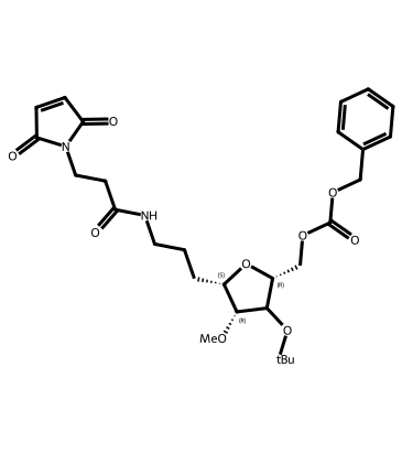 CO[C@H]1C(OC(C)(C)C)[C@@H](COC(=O)OCc2ccccc2)O[C@H]1CCCNC(=O)CCN1C(=O)C=CC1=O